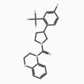 O=C(N1CCC(c2ccc(F)cc2C(F)(F)F)C1)N1CCOc2ccccc21